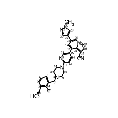 C#Cc1cccc(CN2CCN(c3ccc(-c4cc(-c5cnn(C)c5)cn5ncc(C#N)c45)cn3)CC2)c1F